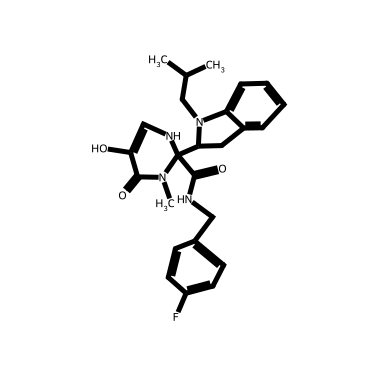 CC(C)CN1c2ccccc2CC1C1(C(=O)NCc2ccc(F)cc2)NC=C(O)C(=O)N1C